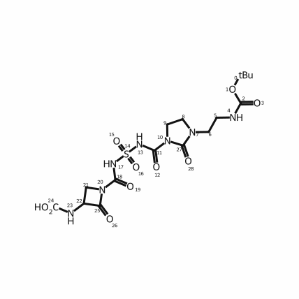 CC(C)(C)OC(=O)NCCN1CCN(C(=O)NS(=O)(=O)NC(=O)N2CC(NC(=O)O)C2=O)C1=O